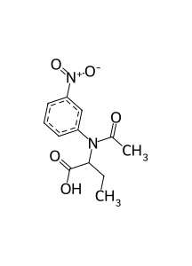 CCC(C(=O)O)N(C(C)=O)c1cccc([N+](=O)[O-])c1